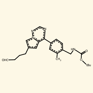 Cc1cc(-c2ncnn3cc(CCCC=O)cc23)ccc1CNC(=O)OC(C)(C)C